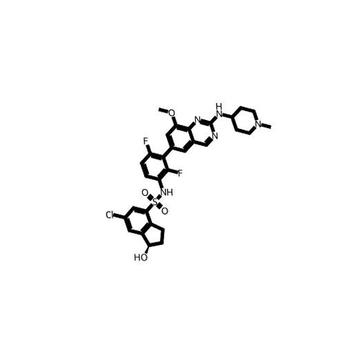 COc1cc(-c2c(F)ccc(NS(=O)(=O)c3cc(Cl)cc4c3CC[C@H]4O)c2F)cc2cnc(NC3CCN(C)CC3)nc12